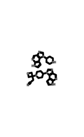 N#CCC1(N2CCC(n3cnc4cnc5[nH]ccc5c43)CC2)COC1.c1cc2c(ncc3ncn(C4CCNCC4)c32)[nH]1